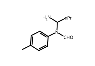 CCCC(N)N(C=O)c1ccc(C)cc1